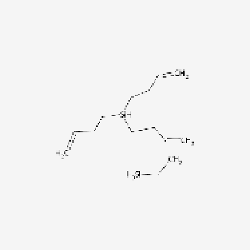 C=CCC[SiH](CCC=C)CCC=C.CC[SiH3]